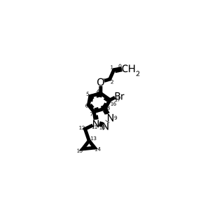 C=CCOc1ccc2c(nnn2CC2CC2)c1Br